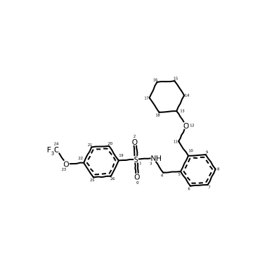 O=S(=O)(NCc1ccccc1COC1CCCCC1)c1ccc(OC(F)(F)F)cc1